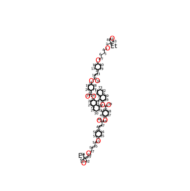 CCC1(COCCCCOc2ccc(/C=C/C(=O)Oc3ccc(C(=O)Oc4ccc5ccccc5c4-c4c(OC(=O)c5ccc(OC(=O)/C=C/c6ccc(OCCCCOCC7(CC)COC7)cc6)cc5)ccc5ccccc45)cc3)cc2)COC1